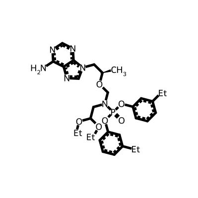 CCOC(CN(CO[C@H](C)Cn1cnc2c(N)ncnc21)P(=O)(Oc1cccc(CC)c1)Oc1cccc(CC)c1)OCC